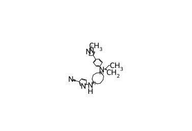 C=C(CC)N(c1ccc(-c2cnn(C)c2)cc1)[C@@H]1CCCC[C@@H](Nc2ccc(C#N)cn2)CCC1